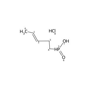 CC=CCC[PH](=O)O.Cl